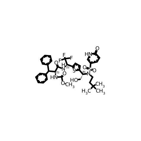 COC(=O)N[C@H](C(=O)N[C@H](c1ccc([C@@H](CO)N(CCC(C)(C)C)S(=O)(=O)c2ccc(=O)[nH]c2)s1)C(F)(F)F)C(c1ccccc1)c1ccccc1